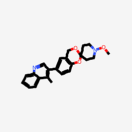 CON1CCC2(CC1)OCc1cc(-c3cnc4ccccc4c3C)ccc1O2